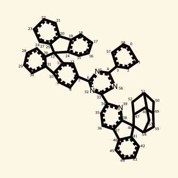 c1ccc(-c2nc(-c3ccc4c(c3)C3(c5ccccc5-c5ccccc53)c3ccccc3-4)nc(-c3ccc4c(n3)C3(c5ccccc5-4)C4CC5CC(C4)CC3C5)n2)cc1